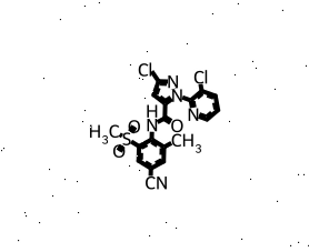 Cc1cc(C#N)cc(S(C)(=O)=O)c1NC(=O)c1cc(Cl)nn1-c1ncccc1Cl